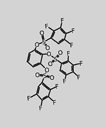 O=S(=O)(Oc1cccc(OS(=O)(=O)c2cc(F)c(F)c(F)c2F)c1OS(=O)(=O)c1cc(F)c(F)c(F)c1F)c1cc(F)c(F)c(F)c1F